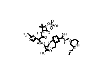 COC[C@H]1C[C@H](CNC(=N)c2ccc3c(c2)CC[C@H]([C@](C)(O[As]=C(C(=O)N[C@@H]2C(=O)N(OS(=O)(=O)O)C2(C)C)c2csc(N)n2)C(=O)O)O3)CCN1